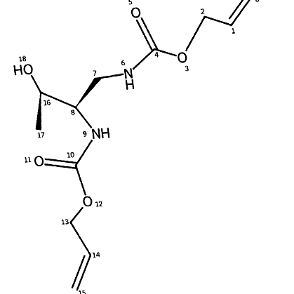 C=CCOC(=O)NC[C@@H](NC(=O)OCC=C)[C@@H](C)O